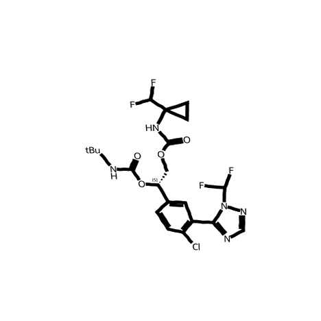 CC(C)(C)NC(=O)O[C@H](COC(=O)NC1(C(F)F)CC1)c1ccc(Cl)c(-c2ncnn2C(F)F)c1